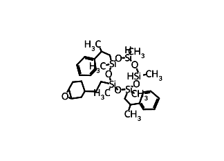 CC(C[Si]1(C)O[SiH](C)O[SiH](C)O[Si](C)(CC(C)c2ccccc2)O[Si](C)(CCC2CCC3OC3C2)O1)c1ccccc1